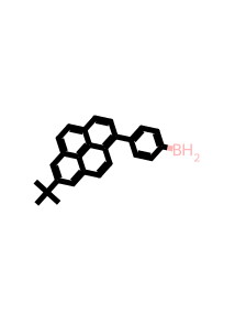 Bc1ccc(-c2ccc3ccc4cc(C(C)(C)C)cc5ccc2c3c45)cc1